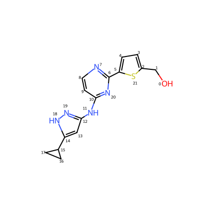 OCc1ccc(-c2nccc(Nc3cc(C4CC4)[nH]n3)n2)s1